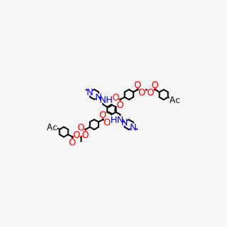 CC(=O)C1CCC(C(=O)OCOC(=O)C2CCC(C(=O)Oc3cc(CNN4CCN(C)CC4)c(OC(=O)C4CCC(C(=O)OC(C)OC(=O)C5CCC(C(C)=O)CC5)CC4)cc3CNN3CCN(C)CC3)CC2)CC1